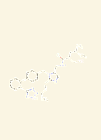 CCCCc1ncc(CNC(=O)[C@@H](CS)CC(C)C)n1Cc1ccc(-c2ccccc2-c2nn[nH]n2)cc1